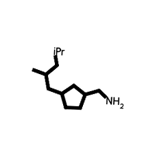 CC(C)CC(C)CC1CCC(CN)C1